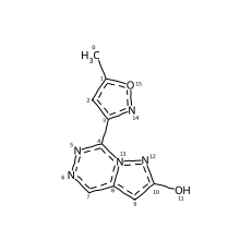 Cc1cc(-c2nncc3cc(O)nn23)no1